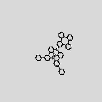 c1ccc(-c2ccc3c(c2)-c2cccc4c2B2c5c(cccc5N4c4ccc5c(c4)-c4ccccc4-c4ccccc4-c4ccccc4-5)-c4cc(-c5ccccc5)ccc4N23)cc1